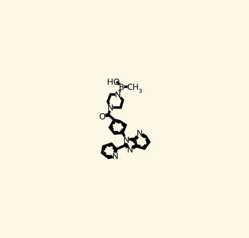 CB(O)N1CCN(C(=O)c2ccc(-n3c(-c4ccccn4)nc4cccnc43)cc2)CC1